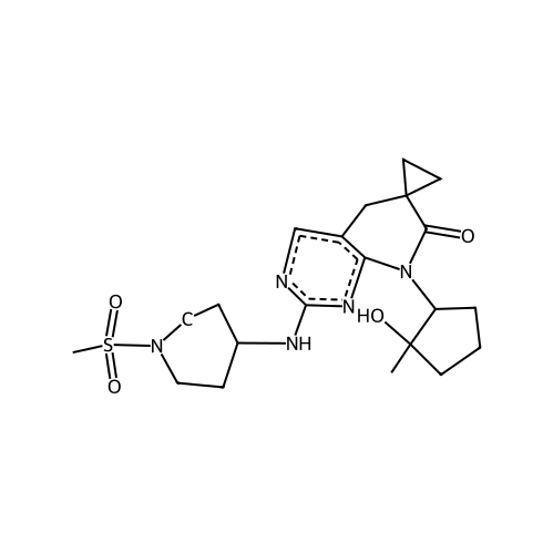 CC1(O)CCCC1N1C(=O)C2(CC2)Cc2cnc(NC3CCN(S(C)(=O)=O)CC3)nc21